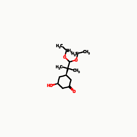 C[SiH2]OC(O[SiH2]C)C(C)(C)[C@H]1CC(=O)C[C@@H](O)C1